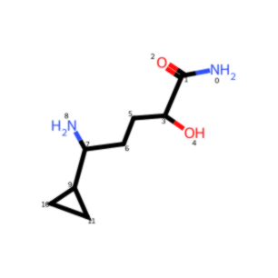 NC(=O)C(O)CCC(N)C1CC1